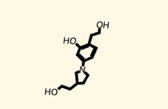 OCCc1ccc(N2CCC(CCO)C2)cc1O